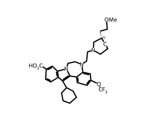 COCC[C@@H]1CCCN(CCN2CCn3c(c(C4CCCCC4)c4ccc(C(=O)O)cc43)-c3ccc(OC(F)(F)F)cc32)C1